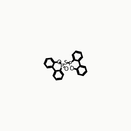 O=P1(SP2Oc3ccccc3-c3ccccc32)Oc2ccccc2-c2ccccc21